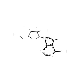 Cc1cn(C2O[C@H](CO)[C@@H](O)[C@@]2(C)O)c2ncnc(N)c12